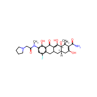 C=C1C(C(N)=O)=C(O)C[C@@H]2CC3Cc4c(F)cc(N(C)C(=O)CN5CCCC5)c(O)c4C(=O)C3=C(O)[C@]12OC